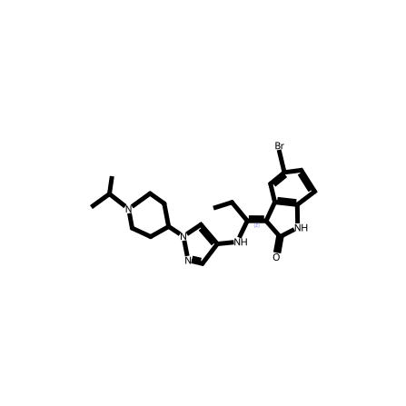 CC/C(Nc1cnn(C2CCN(C(C)C)CC2)c1)=C1/C(=O)Nc2ccc(Br)cc21